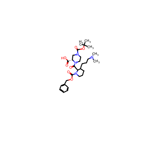 CN(C)CCCC1CCCN(C(=O)OCc2ccccc2)C1C(=O)N1CCN(C(=O)OC(C)(C)C)C[C@H]1C(=O)O